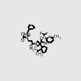 Cc1ccc(NC(=O)C2(c3ccccc3C(C)C)CN(C(=O)CCN(OCc3ccccc3)C(=O)O)C2)c(OC(F)F)n1